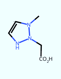 CN1[C]=CNN1CC(=O)O